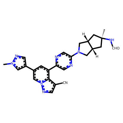 Cn1cc(-c2cc(-c3cnc(N4C[C@@H]5C[C@@](C)(NC=O)C[C@@H]5C4)cn3)c3c(C#N)cnn3c2)cn1